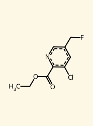 CCOC(=O)c1ncc(CF)cc1Cl